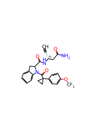 C#C[C@H](CC(N)=O)NC(=O)C1Cc2ccccc2N1C(=O)C1(c2ccc(OC(F)(F)F)cc2)CC1